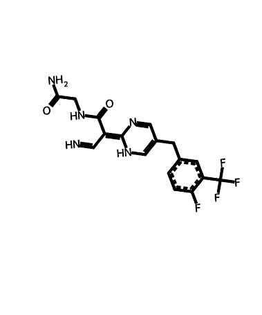 N=C/C(C(=O)NCC(N)=O)=C1/N=CC(Cc2ccc(F)c(C(F)(F)F)c2)=CN1